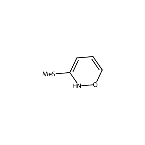 CSC1=CC=CON1